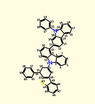 C1=C(n2c3ccccc3c3c(-c4ccc5c6ccccc6n(-c6ccccc6)c5c4)cccc32)CC(c2ccccc2)c2sc3ccccc3c21